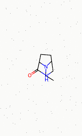 CCN1C2CCC1C(=O)NC2